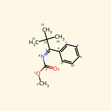 COC(=O)/N=C(\c1ccccc1)C(C)(C)C